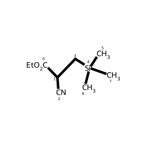 CCOC(=O)C(C#N)C[Si](C)(C)C